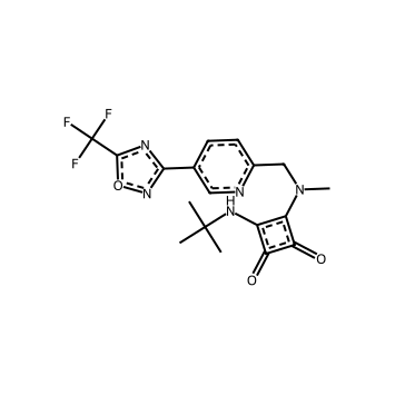 CN(Cc1ccc(-c2noc(C(F)(F)F)n2)cn1)c1c(NC(C)(C)C)c(=O)c1=O